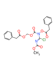 COC(=O)N=C(Cl)N(OC(=O)Cc1ccccc1)C(=O)OCOC(=O)Cc1ccccc1